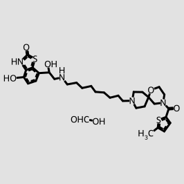 Cc1ccc(C(=O)N2CCOC3(CCN(CCCCCCCCCNCC(O)c4ccc(O)c5[nH]c(=O)sc45)CC3)C2)s1.O=CO